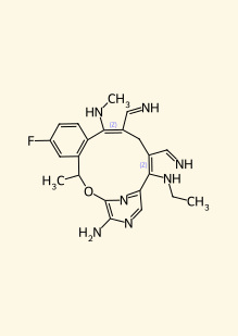 CCN/C1=C(\C=N)C/C(C=N)=C(/NC)c2ccc(F)cc2C(C)Oc2nc1cnc2N